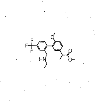 CCNCc1cc(C(F)(F)F)ccc1-c1cc(C(C)C(=O)OC)ccc1OC